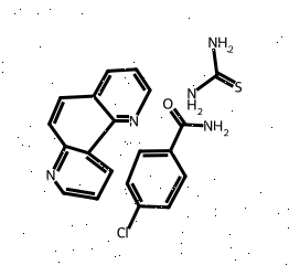 NC(=O)c1ccc(Cl)cc1.NC(N)=S.c1cnc2c(c1)ccc1ncccc12